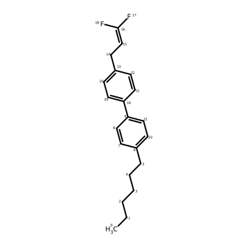 CCCCCCc1ccc(-c2ccc(CC=C(F)F)cc2)cc1